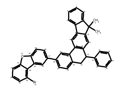 CC1(C)c2ccccc2-c2cc3c(cc21)C(c1ccccc1)Cc1ccc(-c2ccc4oc5cccc(Br)c5c4c2)cc1-3